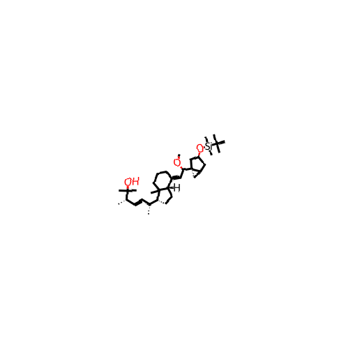 CO[C@H](/C=C1\CCCC2(C)[C@@H]([C@H](C)/C=C/[C@H](C)C(C)(C)O)CC[C@@H]12)[C@]12CC1C[C@H](O[Si](C)(C)C(C)(C)C)C2